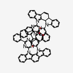 C1=CC2c3ccccc3N(c3cccc(-c4ccccc4-c4ccc(-n5c6ccccc6c6ccc7c8ccccc8n(-c8nc(-c9ccccc9)nc(-c9ccccc9)n8)c7c65)cc4)c3)C2c2c1c1ccccc1n2-c1nc(-c2ccccc2)nc(-c2ccccc2)n1